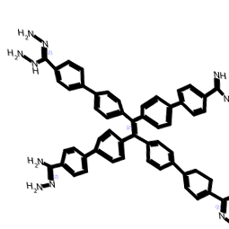 N=C(N)c1ccc(-c2ccc(/C(=C(\c3ccc(C4=CC=C(/C(N)=N/N)CC4)cc3)c3ccc(-c4ccc(/C(N)=N/N)cc4)cc3)c3ccc(-c4ccc(/C(=N/N)NN)cc4)cc3)cc2)cc1